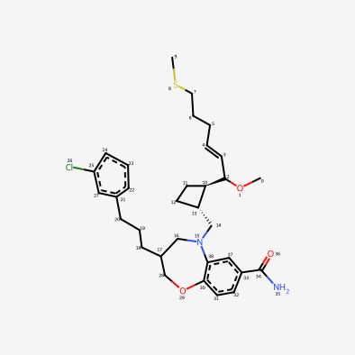 COC(/C=C/CCCSC)[C@@H]1CC[C@H]1CN1CC(CCCc2cccc(Cl)c2)COc2ccc(C(N)=O)cc21